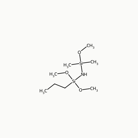 CCC[Si](N[Si](C)(C)OC)(OC)OC